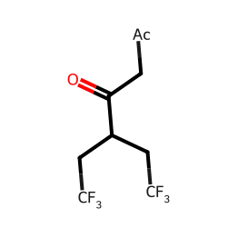 CC(=O)CC(=O)C(CC(F)(F)F)CC(F)(F)F